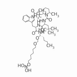 CCCC[C@@H](NC(=O)C(Cc1cn(C(=O)OC)c2ccccc12)NC(=O)C(CC(C)(C)C)NC(=O)N1C(C)CCCC1C)OCOCCCCCCON(O)O